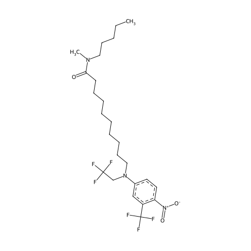 CCCCCN(C)C(=O)CCCCCCCCCN(CC(F)(F)F)c1ccc([N+](=O)[O-])c(C(F)(F)F)c1